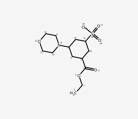 CCOC(=O)C1CC(N2CCOCC2)CC(S(=O)(=O)Cl)C1